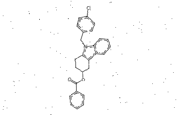 O=C(OC1CCc2c(c3ccccc3n2Cc2ccc(Cl)cc2)C1)c1ccccc1